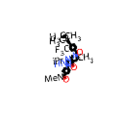 CNC(=O)c1ccc(-n2c(NC(C)C)nc3c(c2=O)C[C@@H](C)N(C(=O)c2ccc(C#C[Si](C)(C)C)c(C(F)(F)F)c2)C3)cc1